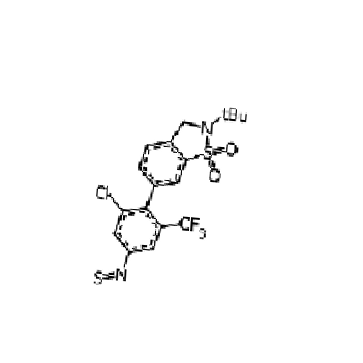 CC(C)(C)N1Cc2ccc(-c3c(Cl)cc(N=S)cc3C(F)(F)F)cc2S1(=O)=O